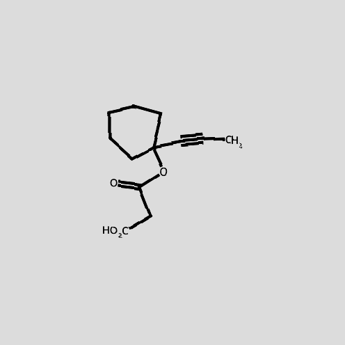 CC#CC1(OC(=O)CC(=O)O)CCCCC1